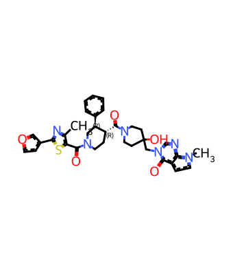 Cc1nc(-c2ccoc2)sc1C(=O)N1CC[C@@H](C(=O)N2CCC(O)(Cn3cnc4c(ccn4C)c3=O)CC2)[C@H](c2ccccc2)C1